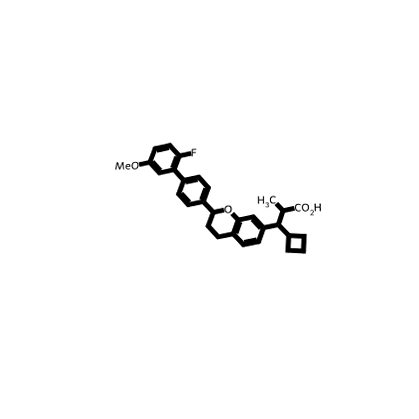 COc1ccc(F)c(-c2ccc(C3CCc4ccc(C(C5CCC5)C(C)C(=O)O)cc4O3)cc2)c1